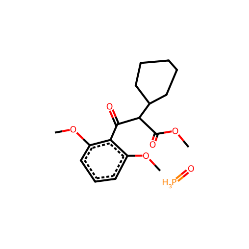 COC(=O)C(C(=O)c1c(OC)cccc1OC)C1CCCCC1.O=[PH3]